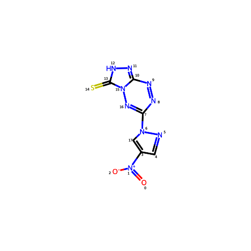 O=[N+]([O-])c1cnn(-c2nnc3n[nH]c(=S)n3n2)c1